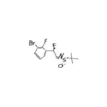 CC(C)(C)[S@+]([O-])N=C[C@H](F)c1cccc(Br)c1F